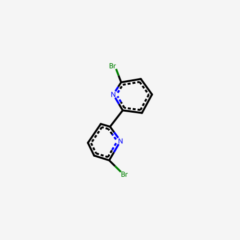 Brc1cccc(-c2cccc(Br)n2)n1